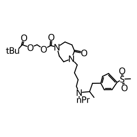 CCCN(CCCCN1CCN(C(=O)OCOC(=O)C(C)(C)C)CCC1=O)C(C)Cc1ccc(S(C)(=O)=O)cc1